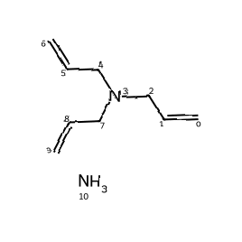 C=CCN(CC=C)CC=C.N